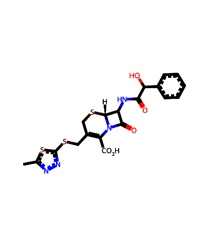 Cc1nnc(SCC2=C(C(=O)O)N3C(=O)C(NC(=O)C(O)c4ccccc4)[C@H]3SC2)s1